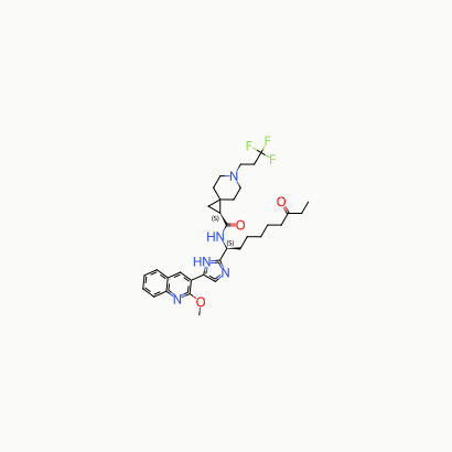 CCC(=O)CCCCC[C@H](NC(=O)[C@H]1CC12CCN(CCC(F)(F)F)CC2)c1ncc(-c2cc3ccccc3nc2OC)[nH]1